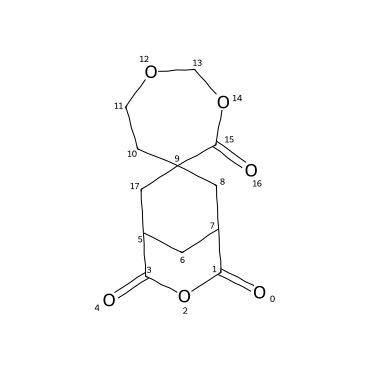 O=C1OC(=O)C2CC1CC1(CCOCOC1=O)C2